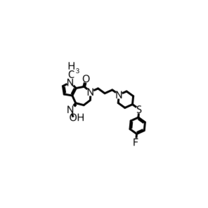 Cn1ccc2c1C(=O)N(CCCN1CCC(Sc3ccc(F)cc3)CC1)CCC2=NO